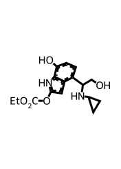 CCOC(=O)Oc1cc2c(C(CO)NC3CC3)ccc(O)c2[nH]1